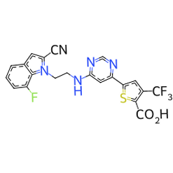 N#Cc1cc2cccc(F)c2n1CCNc1cc(-c2cc(C(F)(F)F)c(C(=O)O)s2)ncn1